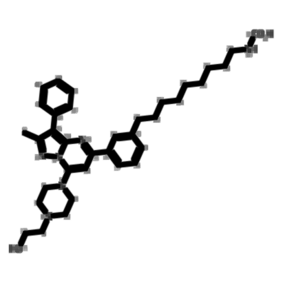 Cc1nn2c(N3CCN(CCO)CC3)cc(-c3cccc(CCCCCCCCCNC(=O)O)c3)nc2c1-c1ccccc1